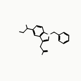 CCOC(=O)C(CC=O)c1ccc2c(c1)c(CC(N)=O)cn2Cc1ccccc1